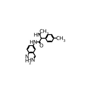 CNC(C(=O)Nc1ccc(N)c(C=N)c1)c1ccc(C)cc1